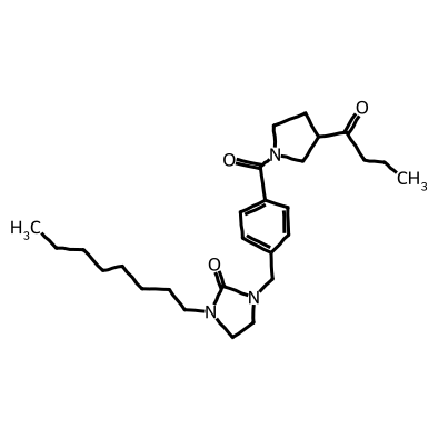 CCCCCCCCN1CCN(Cc2ccc(C(=O)N3CCC(C(=O)CCC)C3)cc2)C1=O